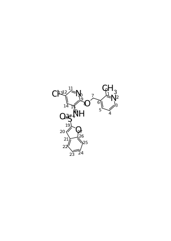 Cc1ncccc1COc1ncc(Cl)cc1N[S+]([O-])c1cc2ccccc2o1